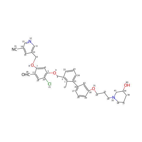 Cc1c(COc2cc(OCc3cncc(C#N)c3)c(C=O)cc2Cl)cccc1-c1cccc(OCCCN2CCCC(O)C2)c1